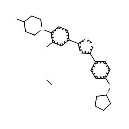 CC(=O)O.O=C(O)[C@H]1CC[C@H](Nc2ccc(-c3nc(-c4ccc(N5CCC(F)CC5)c(C(F)(F)F)c4)no3)cc2)C1